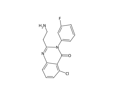 NCCc1nc2cccc(Cl)c2c(=O)n1-c1cccc(F)c1